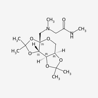 CNC(=O)CN(C)C[C@@]12OC[C@H]3OC(C)(C)O[C@H]3[C@@H]1OC(C)(C)O2